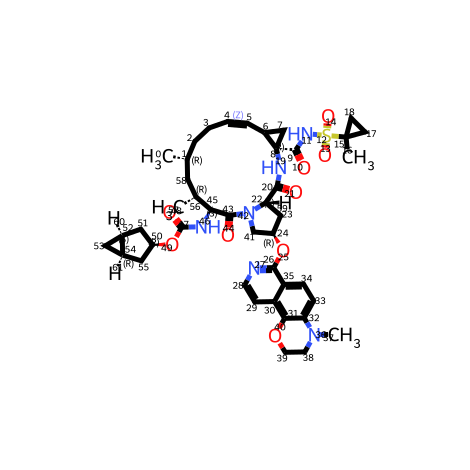 C[C@@H]1CC/C=C\C2C[C@@]2(C(=O)NS(=O)(=O)C2(C)CC2)NC(=O)[C@@H]2C[C@@H](Oc3nccc4c5c(ccc34)N(C)CCO5)CN2C(=O)[C@@H](NC(=O)O[C@@H]2C[C@@H]3C[C@@H]3C2)[C@H](C)C1